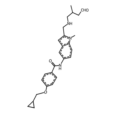 CC(CC=O)CNCc1cc2cc(NC(=O)c3ccc(OCC4CC4)cc3)ccc2n1C